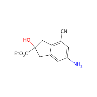 CCOC(=O)C1(O)Cc2cc(N)cc(C#N)c2C1